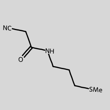 CSCCCNC(=O)CC#N